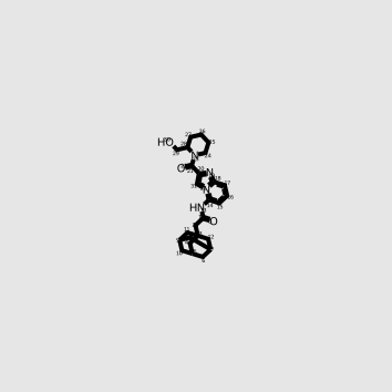 O=C(CC12CC3CC(CC(C3)C1)C2)Nc1cccc2nc(C(=O)N3CCCCC3CO)cn12